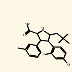 Cc1cccc(C2C(C(=O)O)NC(CC(C)(C)C)C2c2ccc(Cl)cc2F)c1